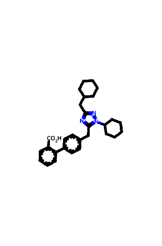 O=C(O)c1ccccc1-c1ccc(Cc2nc(CC3CCCCC3)nn2C2CCCCC2)cc1